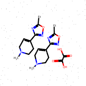 CCc1nc(C2=CCN(C)CC2)no1.CCc1nc(C2=CCN(C)CC2)no1.O=C(O)C(=O)O